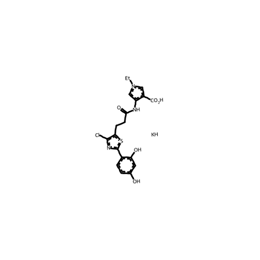 CCn1cc(NC(=O)CCc2sc(-c3ccc(O)cc3O)nc2Cl)c(C(=O)O)c1.[KH]